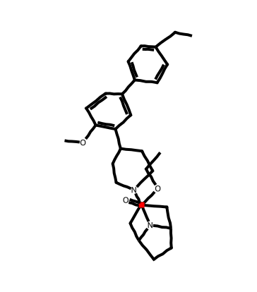 CCOC(=O)N1C2CCC1CC(N1CCC(c3cc(-c4ccc(CC)cc4)ccc3OC)CC1)C2